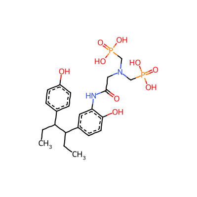 CCC(c1ccc(O)cc1)C(CC)c1ccc(O)c(NC(=O)CN(CP(=O)(O)O)CP(=O)(O)O)c1